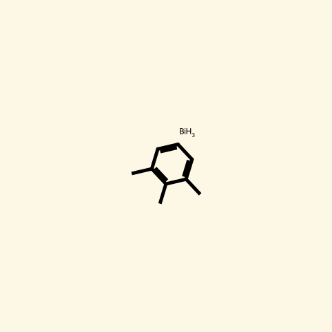 Cc1cccc(C)c1C.[BiH3]